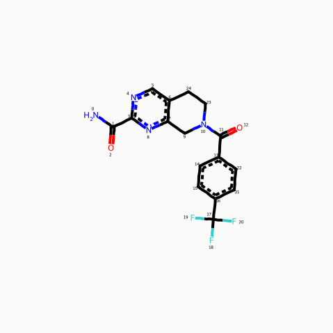 NC(=O)c1n[c]c2c(n1)CN(C(=O)c1ccc(C(F)(F)F)cc1)CC2